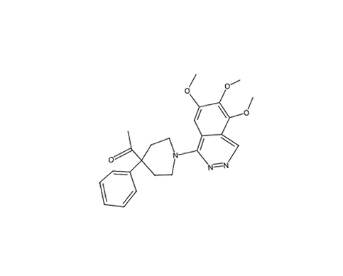 COc1cc2c(N3CCC(C(C)=O)(c4ccccc4)CC3)nncc2c(OC)c1OC